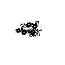 CCOc1ccc(Cc2cc([C@@H]3O[C@H](CN(C)c4cccc(C(=O)N5CCCC5)c4)[C@H](O)[C@@H](O)[C@H]3O)ccc2Cl)cc1